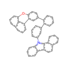 c1cc(-c2ccccc2-c2ccc3c(c2)-c2cccc4cccc(c24)O3)cc(-n2c3ccccc3c3ccc4ccccc4c32)c1